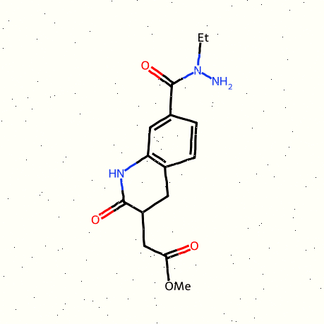 CCN(N)C(=O)c1ccc2c(c1)NC(=O)C(CC(=O)OC)C2